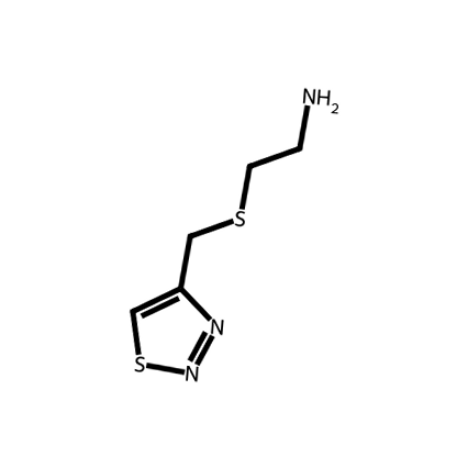 NCCSCc1csnn1